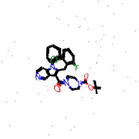 CC(C)(C)OC(=O)N1CCN(C(=O)c2c(Cc3c(F)cccc3Cl)n(-c3ccccc3)c3ccncc23)CC1